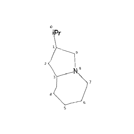 CC(C)C1CC2CCCCN2C1